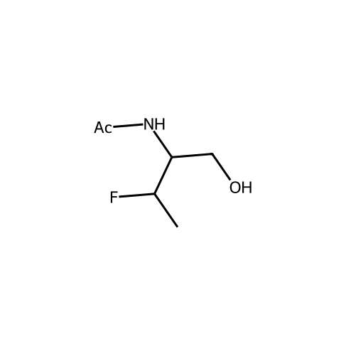 CC(=O)NC(CO)C(C)F